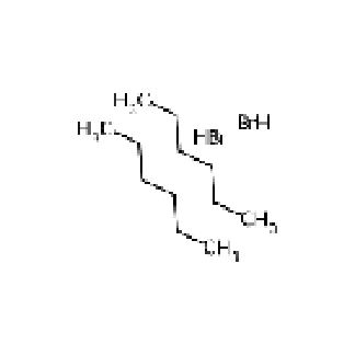 Br.Br.CCCCCC.CCCCCC